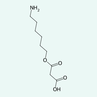 NCCCCCCOC(=O)CC(=O)O